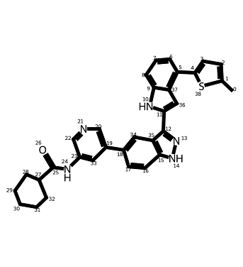 Cc1ccc(-c2cccc3[nH]c(-c4n[nH]c5ccc(-c6cncc(NC(=O)C7CCCCC7)c6)cc45)cc23)s1